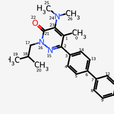 Cc1c(-c2ccc(-c3ccccc3)cc2)nn(CC(C)C)c(=O)c1N(C)C